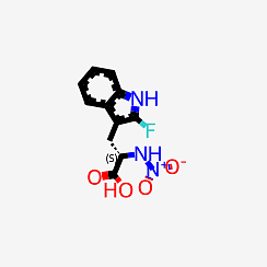 O=C(O)[C@H](Cc1c(F)[nH]c2ccccc12)N[N+](=O)[O-]